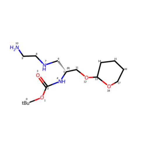 CC(C)(C)OC(=O)N[C@H](CNCCN)COC1CCCCO1